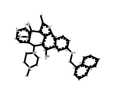 CCOC(O)c1c(C)oc2c1c(C(c1ccncc1)N1CCN(C)CC1)c(O)c1cc(OCc3cccc4ccccc34)ccc12